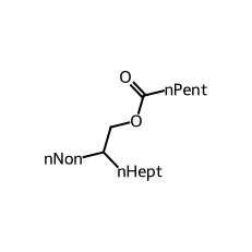 CCCCCCCCCC(CCCCCCC)COC(=O)CCCCC